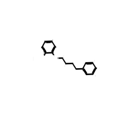 Cc1ccccc1OCCCCc1ccccc1